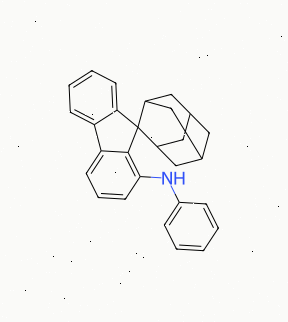 c1ccc(Nc2cccc3c2C2(c4ccccc4-3)C3CC4CC(C3)CC2C4)cc1